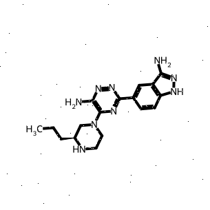 CCC[C@H]1CN(c2nc(-c3ccc4[nH]nc(N)c4c3)nnc2N)CCN1